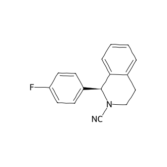 N#CN1CCc2ccccc2[C@@H]1c1ccc(F)cc1